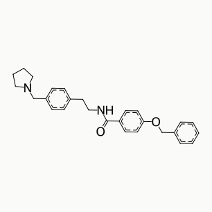 O=C(NCCc1ccc(CN2CCCC2)cc1)c1ccc(OCc2ccccc2)cc1